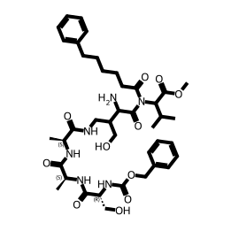 COC(=O)C(C(C)C)N(C(=O)CCCCCc1ccccc1)C(=O)C(N)C(CO)CNC(=O)[C@H](C)NC(=O)[C@H](C)NC(=O)[C@@H](CO)NC(=O)OCc1ccccc1